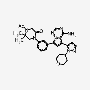 CC(=O)N1CC(=O)N(c2cccc(-c3cc(-c4ccnn4C4CCOCC4)c4c(N)ncnn34)c2)CC1(C)C